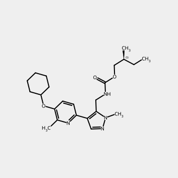 CC[C@H](C)COC(=O)NCc1c(-c2ccc(OC3CCCCC3)c(C)n2)cnn1C